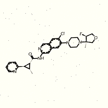 C[C@H]1[C@@H](C(=O)Nc2cc3cc(N4CCN([C@]5(C)COC[C@@H]5F)CC4)c(Cl)cc3cn2)[C@@H]1c1ccccn1